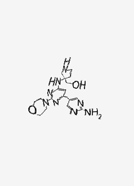 Nc1ncc(-c2cc(N[C@@]3(CO)CCNC3)nc(N3CCOCC3)n2)cn1